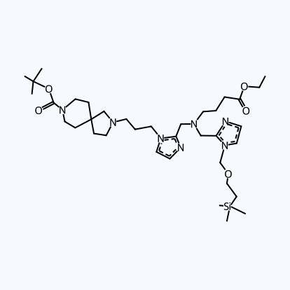 CCOC(=O)CCCN(Cc1nccn1CCCN1CCC2(CCN(C(=O)OC(C)(C)C)CC2)C1)Cc1nccn1COCC[Si](C)(C)C